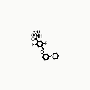 CS(=O)(=O)NC(=O)c1cc(F)c(COc2cccc(N3CCCCC3)c2)cc1F